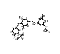 COc1cc(OCc2cc(F)c(Oc3ccc(Cl)c(C(F)(F)F)c3)c(F)c2)nc(=O)[nH]1